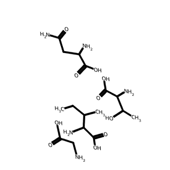 CC(O)C(N)C(=O)O.CCC(C)C(N)C(=O)O.NC(=O)CC(N)C(=O)O.NCC(=O)O